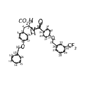 O=C(N[C@@H](Cc1ccc(OCc2ccccc2)cc1)C(=O)O)c1ccc(OCc2cccc(C(F)(F)F)c2)cc1